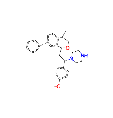 COc1ccc(C(CC2OCC(C)c3ccc(-c4ccccc4)cc32)N2CCNCC2)cc1